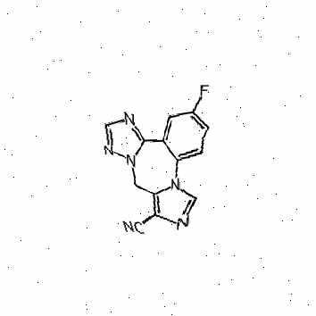 N#Cc1ncn2c1Cn1ncnc1-c1cc(F)ccc1-2